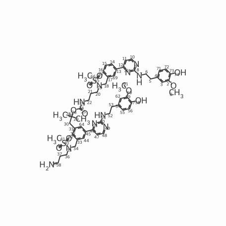 COc1cc(CCNc2nccc(-c3cccc(CN(CCCNC(=O)OC(C)(C)Cc4cc(CN(CCCN)S(C)(=O)=O)cc(-c5ccnc(NCCc6ccc(O)c(OC)c6)n5)c4)S(C)(=O)=O)c3)n2)ccc1O